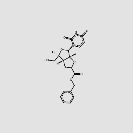 C[C@@]12OC(C(=O)OCc3ccccc3)O[C@@H]1[C@@](F)(CO)O[C@H]2n1ccc(=O)[nH]c1=O